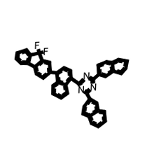 FC1(F)c2ccccc2-c2ccc(-c3ccc(-c4nc(-c5ccc6ccccc6c5)nc(-c5ccc6ccccc6c5)n4)c4ccccc34)cc21